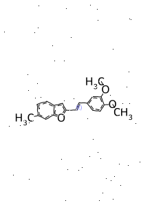 COc1ccc(/C=C/c2cc3ccc(C)cc3o2)cc1OC